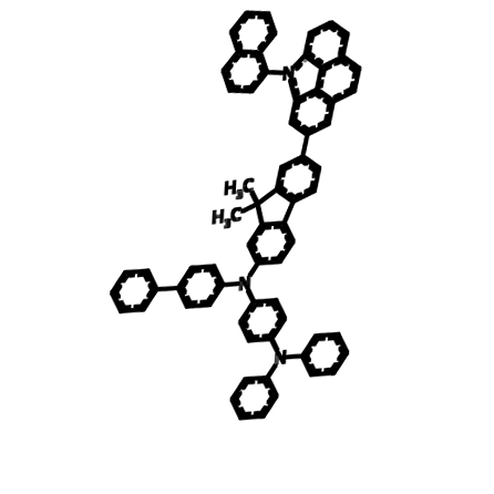 CC1(C)c2cc(-c3cc4ccc5cccc6c5c4c(c3)n6-c3cccc4ccccc34)ccc2-c2ccc(N(c3ccc(-c4ccccc4)cc3)c3ccc(N(c4ccccc4)c4ccccc4)cc3)cc21